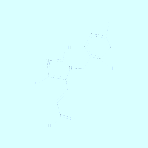 Cc1nc(Cl)c(/C=C/C(=O)O)n1Cc1ccc(Cl)cc1Cl